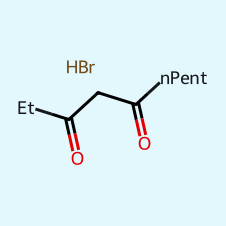 Br.CCCCCC(=O)CC(=O)CC